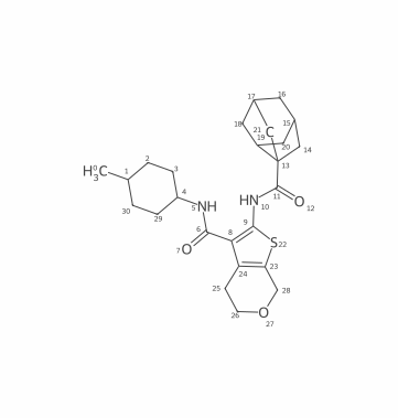 CC1CCC(NC(=O)c2c(NC(=O)C34CC5CC(CC3C5)C4)sc3c2CCOC3)CC1